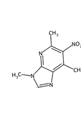 Cc1nc2c(n[c]n2C)c(C)c1[N+](=O)[O-]